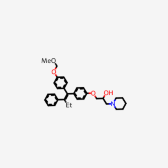 CCC(=C(c1ccc(OCOC)cc1)c1ccc(OCC(O)CN2CCCCC2)cc1)c1ccccc1